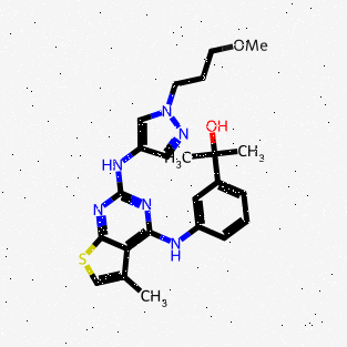 COCCCn1cc(Nc2nc(Nc3cccc(C(C)(C)O)c3)c3c(C)csc3n2)cn1